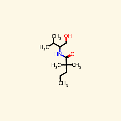 CCCC(C)(C)C(=O)NC(CO)C(C)C